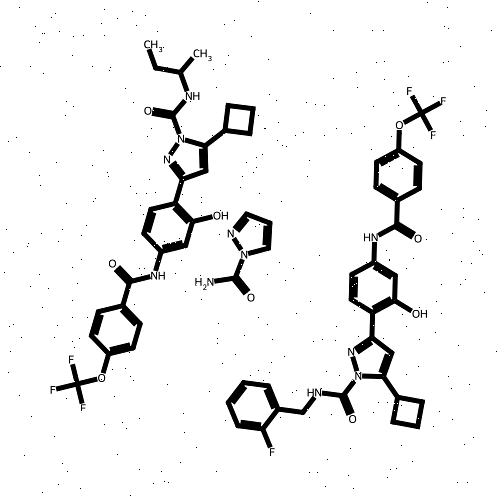 CCC(C)NC(=O)n1nc(-c2ccc(NC(=O)c3ccc(OC(F)(F)F)cc3)cc2O)cc1C1CCC1.NC(=O)n1cccn1.O=C(Nc1ccc(-c2cc(C3CCC3)n(C(=O)NCc3ccccc3F)n2)c(O)c1)c1ccc(OC(F)(F)F)cc1